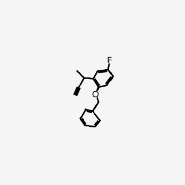 C#CC(C)c1cc(F)ccc1OCc1ccccc1